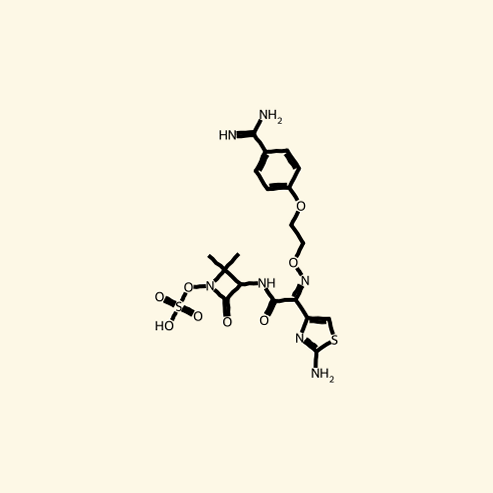 CC1(C)C(NC(=O)C(=NOCCOc2ccc(C(=N)N)cc2)c2csc(N)n2)C(=O)N1OS(=O)(=O)O